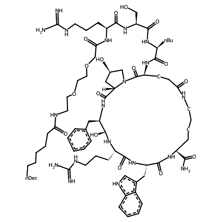 CCCCCCCCCCCCCCCC(=O)NCCOCCOCC(=O)N[C@@H](CCCNC(=N)N)C(=O)N[C@@H](CO)C(=O)N[C@@H](CCCC)C(=O)N[C@H]1CCC(=O)NCCCC[C@@H](C(N)=O)NC(=O)[C@H](Cc2c[nH]c3ccccc23)NC(=O)[C@H](CCCNC(=N)N)N[C@@H](O)[C@@H](Cc2ccccc2)NC(=O)[C@@H]2C[C@@H](O)CN2C1=O